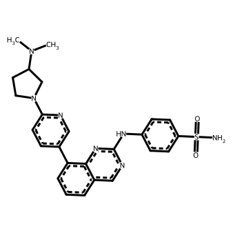 CN(C)C1CCN(c2ccc(-c3cccc4cnc(Nc5ccc(S(N)(=O)=O)cc5)nc34)cn2)C1